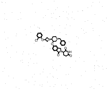 O=C1CCC(N2Cc3cc(OC4CN(Cc5ccccc5)CCC4N4CC(Oc5ccccc5Cl)C4)ccc3C2=O)C(=O)N1